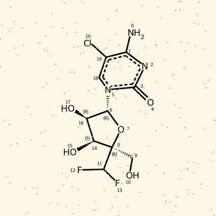 Nc1nc(=O)n([C@@H]2O[C@@](CO)(C(F)F)[C@@H](O)[C@H]2O)cc1Cl